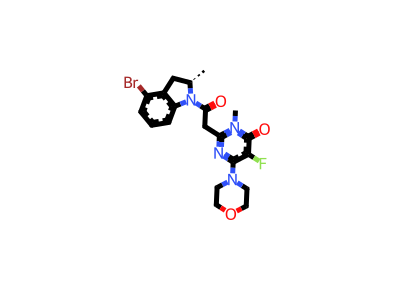 C[C@H]1Cc2c(Br)cccc2N1C(=O)Cc1nc(N2CCOCC2)c(F)c(=O)n1C